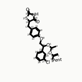 C=C(OC(C)OC(COc1ccc(CC2SC(=O)NC2=O)cc1)c1cccc(Cl)c1)C(C)CCC